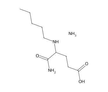 CCCCCNC(CCC(=O)O)C(N)=O.N